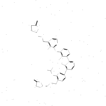 O=C1CC[C@H](CNCc2ccc(-c3ccnc(-c4cccc(Nc5nccc(CNC[C@@H]6CCC(=O)N6)c5F)c4Cl)c3Cl)nc2OC(F)F)N1